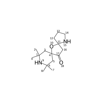 CC1(C)CC2(CC(C)(C)N1)OC1(CCCN1)CC2=O